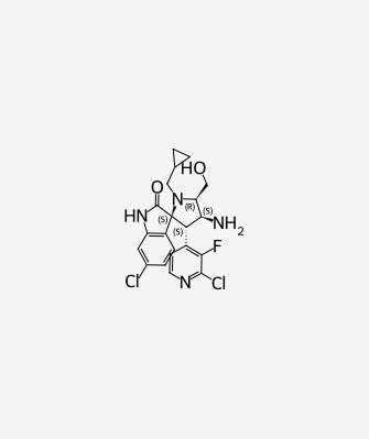 N[C@@H]1[C@H](CO)N(CC2CC2)[C@@]2(C(=O)Nc3cc(Cl)ccc32)[C@H]1c1ccnc(Cl)c1F